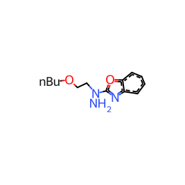 CCCCOCCN(N)c1nc2ccccc2o1